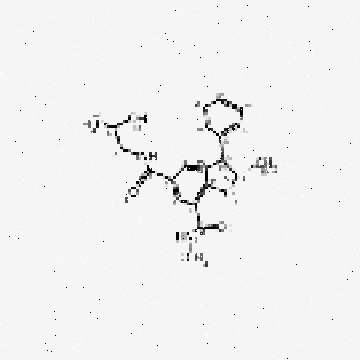 CNC(=O)c1cc(C(=O)NCC(C)O)cc2c1O[C@@H](C)[C@@H]2c1ccccc1